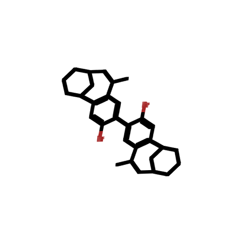 CC1CC2CCCC(C2)c2cc(Br)c(-c3cc4c(cc3Br)C3CCCC(CC4C)C3)cc21